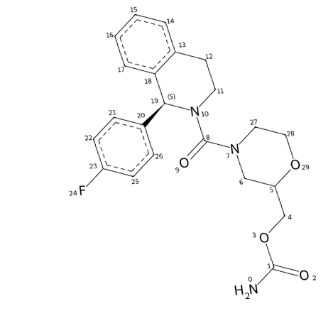 NC(=O)OCC1CN(C(=O)N2CCc3ccccc3[C@@H]2c2ccc(F)cc2)CCO1